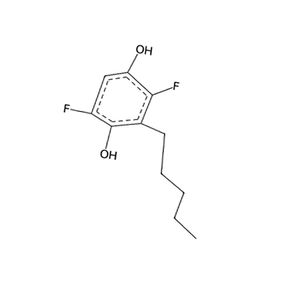 CCCCCc1c(O)c(F)cc(O)c1F